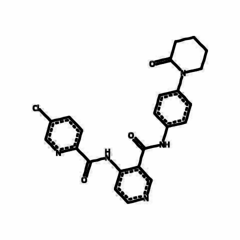 O=C(Nc1ccncc1C(=O)Nc1ccc(N2CCCCC2=O)cc1)c1ccc(Cl)cn1